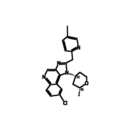 Cc1ccc(Cc2nc3cnc4ccc(Cl)cc4c3n2[C@@H]2CCO[C@H](C)C2)nc1